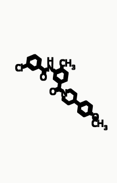 COc1ccc(C2CCN(C(=O)c3ccc(C)c(NC(=O)c4cccc(Cl)c4)c3)CC2)cc1